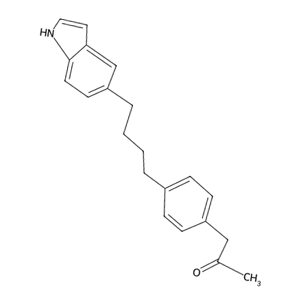 CC(=O)Cc1ccc(CCCCc2ccc3[nH]ccc3c2)cc1